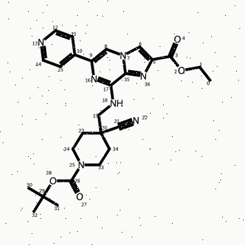 CCOC(=O)c1cn2cc(-c3ccncc3)nc(NCC3(C#N)CCN(C(=O)OC(C)(C)C)CC3)c2n1